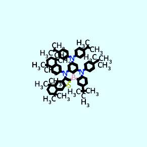 CC(C)c1ccc(N(c2ccc(C(C)C)cc2)c2cc3c4c(c2)N(c2ccc5c(c2)C(C)(C)CCC5(C)C)c2c(sc5cc6c(cc25)C(C)(C)CCC6(C)C)B4c2cc(C(C)(C)C)ccc2N3c2ccc(C(C)(C)C)cc2)cc1